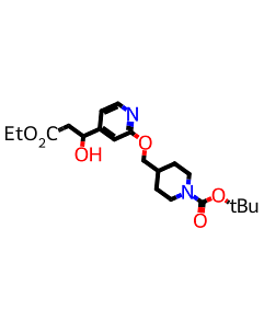 CCOC(=O)CC(O)c1ccnc(OCC2CCN(C(=O)OC(C)(C)C)CC2)c1